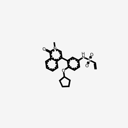 C=CS(=O)(=O)Nc1ccc(OC2CCCC2)c(-c2cn(C)c(=O)c3ccccc23)c1